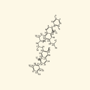 Cc1ccc(C)c(-c2ccc3c(CC(C)CCC(C)Cc4cc5c(ccc(-c6cc(C)cc(C)c6C)[n+]5C)cc4F)c(F)c(CC(C)C)cc3[n+]2C)c1